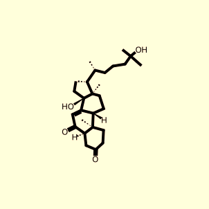 C[C@H](CCCC(C)(C)O)[C@H]1CC[C@@]2(O)C3=CC(=O)[C@@H]4CC(=O)CC[C@]4(C)[C@H]3CC[C@]12C